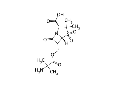 CC(C)(N)C(=O)OC[C@@H]1C(=O)N2[C@@H](C(=O)O)C(C)(C)S(=O)(=O)[C@H]12